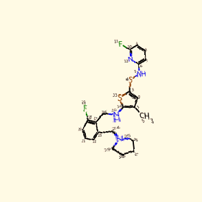 Cc1cc(SNc2cccc(F)n2)sc1NCc1c(F)cccc1CN1CCCC1